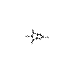 CC(C)(C)N1C(=O)c2cn(C(C)(C)C)cc2C1=O